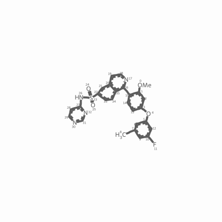 COc1cc(Oc2cc(C)cc(F)c2)ccc1-c1nccc2cc(S(=O)(=O)Nc3ccncn3)ccc12